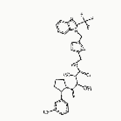 C=C(C(O)[C@@H](O)C(=O)NCc1ccc(Cn2c(C(F)(F)F)nc3ccccc32)s1)N1CCC[C@@H]1c1cccc(Cl)c1